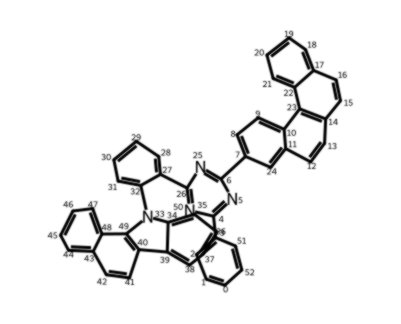 c1ccc(-c2nc(-c3ccc4c(ccc5ccc6ccccc6c54)c3)nc(-c3ccccc3-n3c4ccccc4c4ccc5ccccc5c43)n2)cc1